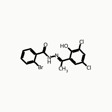 C/C(=N\NC(=O)c1ccccc1Br)c1cc(Cl)cc(Cl)c1O